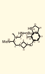 CCCCNCN(C)C(CN1CC(Oc2ccc3c(c2C)BCC3)C1)NC